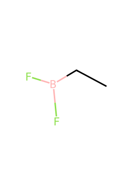 CCB(F)F